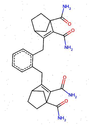 NC(=O)C1=C(Cc2ccccc2CC2=C(C(N)=O)C3(C(N)=O)CCC2C3)C2CCC1(C(N)=O)C2